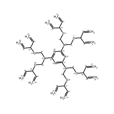 C=CC(C=C)OCN(COC(C=C)C=C)c1nc(N(COC(C=C)C=C)COC(C=C)C=C)nc(N(COC(C=C)C=C)COC(C=C)C=C)n1